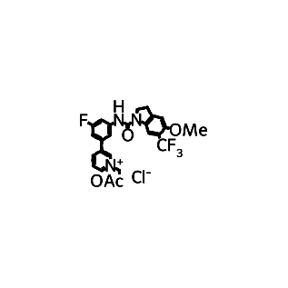 COc1cc2c(cc1C(F)(F)F)N(C(=O)Nc1cc(F)cc(-c3ccc[n+](COC(C)=O)c3)c1)CC2.[Cl-]